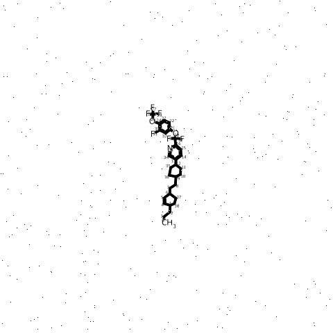 CCCC1C=CC(CCC2CCC(c3ccc(C(F)(F)Oc4ccc(OC(F)(F)F)c(F)c4)nc3)CC2)CC1